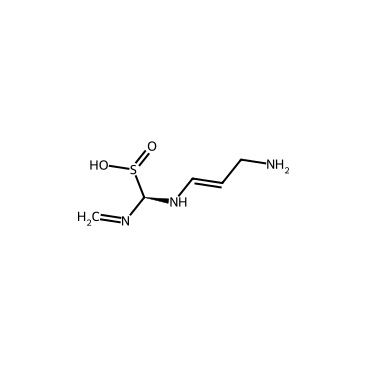 C=N[C@H](N/C=C/CN)S(=O)O